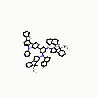 CC1(C)c2ccccc2-c2ccc(N(c3cc(-c4ccc5c6c7sc8ccccc8c7ccc6n(-c6ccccc6)c5c4)cc(N(c4ccc5c(c4)C(C)(C)c4ccccc4-5)c4cccc5ccccc45)c3)c3cccc4ccccc34)cc21